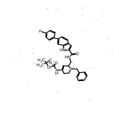 CC(C)(C)OC(=O)NC1=CC(CNC(=O)c2cc3ccc(-c4ccc(F)cc4)cc3[nH]2)N(Cc2ccccc2)CC1